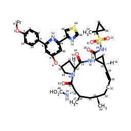 CC(C)Oc1ccc(-c2cc(O[C@@H]3C[C@H]4C(=O)N[C@]5(C(=O)NS(=O)(=O)C6(C)CC6)C[C@H]5C=CCC[C@@H](C)C[C@@H](C)[C@H](NC(=O)O)C(=O)N4C3)cc(-c3cscn3)n2)cc1